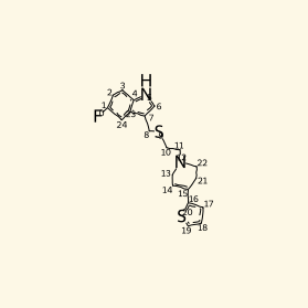 Fc1ccc2[nH]cc(CSCCN3CC=C(c4cccs4)CC3)c2c1